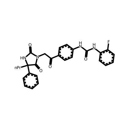 CCCC1(c2ccccc2)NC(=O)N(CC(=O)c2ccc(NC(=O)Nc3ccccc3F)cc2)C1=O